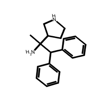 CC(N)(C1CCNC1)C(c1ccccc1)c1ccccc1